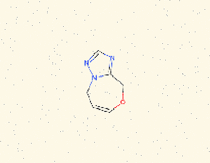 C1=COCc2ncnn2C1